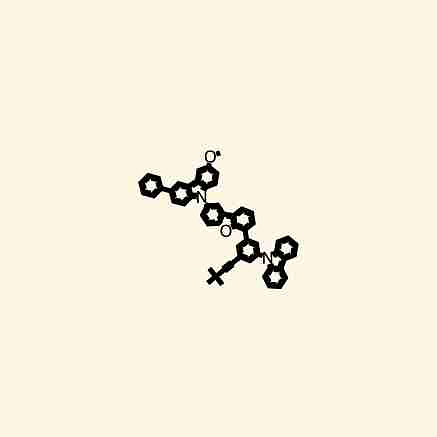 COc1ccc2c(c1)c1cc(-c3ccccc3)ccc1n2-c1ccc2oc3c(-c4cc(C#CC(C)(C)C)cc(-n5c6ccccc6c6ccccc65)c4)cccc3c2c1